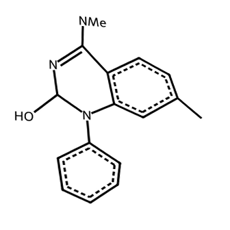 CNC1=NC(O)N(c2ccccc2)c2cc(C)ccc21